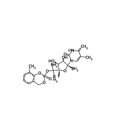 BC(B)(OP1(=O)OCc2cccc(C)c2O1)[C@@]1(F)O[C@@](B)(N2C=C(C)C(=C)NC2=O)[C@H](O)[C@@H]1O